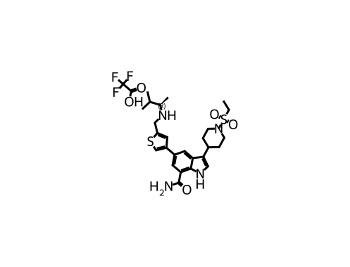 CCS(=O)(=O)N1CCC(c2c[nH]c3c(C(N)=O)cc(-c4csc(CN[C@H](C)C(C)C)c4)cc23)CC1.O=C(O)C(F)(F)F